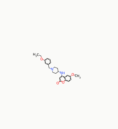 CCOc1cccc(CN2CCC(Nc3cc(=O)oc4ccc(OC)cc34)CC2)c1